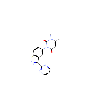 Cn1c(C(F)(F)F)cc(=O)n(-c2ccc3snc(-c4ncccn4)c3c2)c1=O